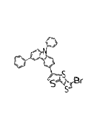 Brc1csc2c1sc1c(-c3ccc4c(c3)c3cc(-c5ccccc5)ccc3n4-c3ccccc3)csc12